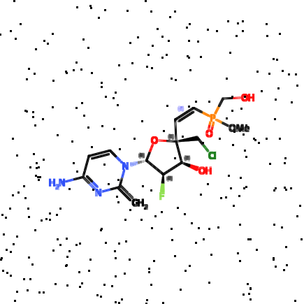 C=C1N=C(N)C=CN1[C@@H]1O[C@@](/C=C\P(=O)(CO)OC)(CCl)[C@@H](O)[C@H]1F